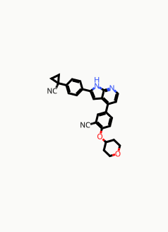 N#Cc1cc(-c2ccnc3[nH]c(-c4ccc(C5(C#N)CC5)cc4)cc23)ccc1OC1CCOCC1